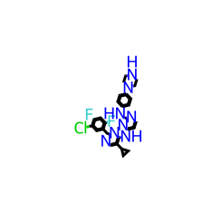 Fc1cc(F)c(-c2ncc(C3CC3)c(Nc3ccnc(Nc4ccc(N5CCNCC5)cc4)n3)n2)cc1Cl